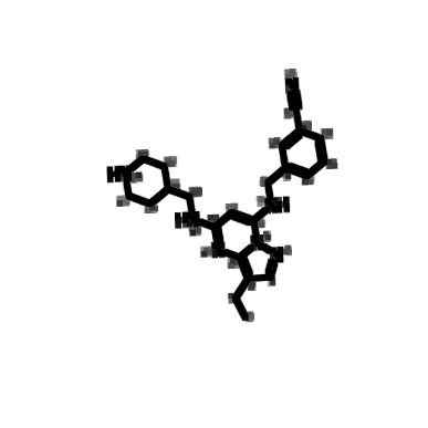 CCc1cnn2c(NCc3cccc(C#N)c3)cc(NCC3CCNCC3)nc12